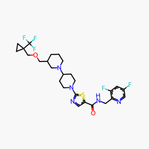 O=C(NCc1ncc(F)cc1F)c1cnc(N2CCC(N3CCCC(COCC4(C(F)(F)F)CC4)C3)CC2)s1